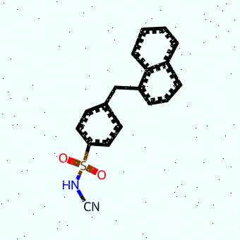 N#CNS(=O)(=O)c1ccc(Cc2cccc3ccccc23)cc1